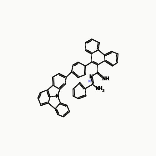 N=C(/N=C(\N)c1ccccc1)c1c(-c2ccc(-c3ccc4c5cccc6c7ccccc7n(c4c3)c65)cc2)c2ccccc2c2ccccc12